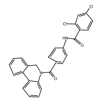 O=C(Nc1ccc(C(=O)N2Cc3ccccc3-c3ccccc32)cc1)c1ccc(Cl)cc1Cl